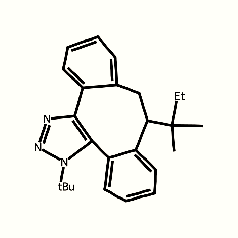 CCC(C)(C)C1Cc2ccccc2-c2nnn(C(C)(C)C)c2-c2ccccc21